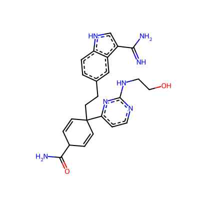 N=C(N)c1c[nH]c2ccc(CCC3(c4ccnc(NCCO)n4)C=CC(C(N)=O)C=C3)cc12